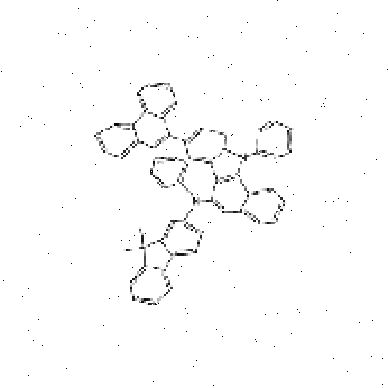 CC1(C)c2ccccc2-c2ccc(N(c3ccccc3)c3cc4ccccc4c4c3c3cc(-c5cc6ccccc6c6ccccc56)ccc3n4-c3ccccc3)cc21